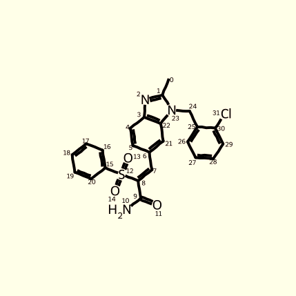 Cc1nc2ccc(C=C(C(N)=O)S(=O)(=O)c3ccccc3)cc2n1Cc1ccccc1Cl